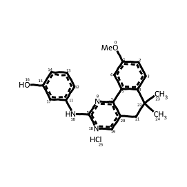 COc1ccc2c(c1)-c1nc(Nc3cccc(O)c3)ncc1CC2(C)C.Cl